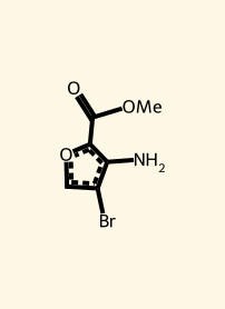 COC(=O)c1occ(Br)c1N